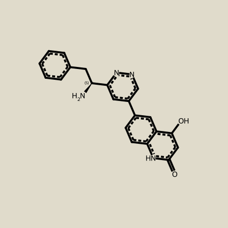 N[C@@H](Cc1ccccc1)c1cc(-c2ccc3[nH]c(=O)cc(O)c3c2)cnn1